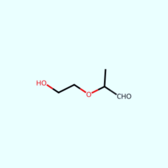 CC(C=O)OCCO